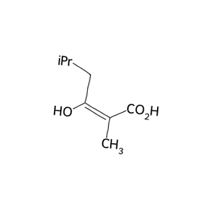 C/C(C(=O)O)=C(\O)CC(C)C